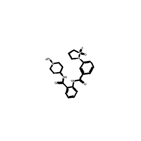 CCCN1CCC(NC(=O)c2ccccc2NC(=O)c2cccc(N3CCCS3(=O)=O)c2)CC1